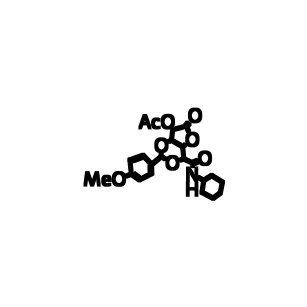 COc1ccc(C2OC(C(=O)NC3CCCCC3)C3OC(=O)C(OC(C)=O)C3O2)cc1